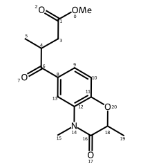 COC(=O)CC(C)C(=O)c1ccc2c(c1)N(C)C(=O)C(C)O2